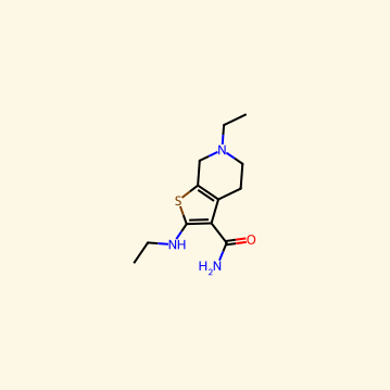 CCNc1sc2c(c1C(N)=O)CCN(CC)C2